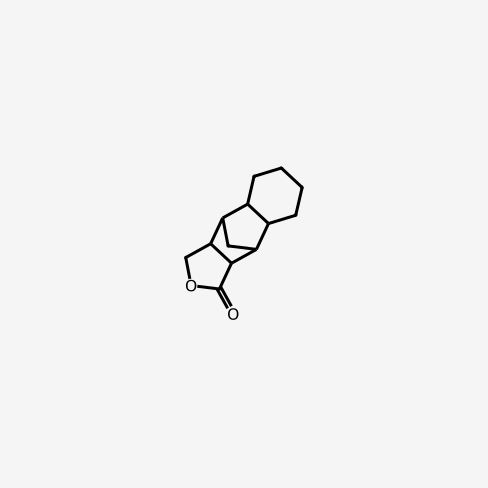 O=C1OCC2C3CC(C4CCCCC34)C12